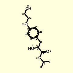 CC(C)OC(=O)[C@@H](O)Cc1ccc(OCCO)cc1